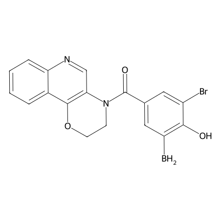 Bc1cc(C(=O)N2CCOc3c2cnc2ccccc32)cc(Br)c1O